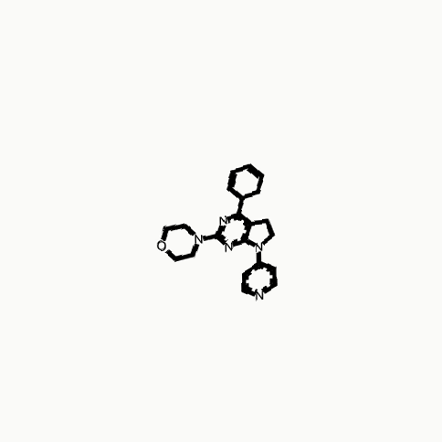 C1=CCC(c2nc(N3CCOCC3)nc3c2CCN3c2ccncc2)C=C1